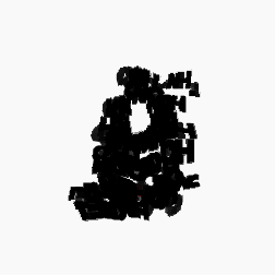 CCCCN(CCSSCCC(=O)N[C@H](Cc1ccccc1)C(=O)N[C@H]1CSSC[C@@H](C(=O)N[C@H](CO)[C@@H](C)O)NC(=O)[C@H]([C@@H](C)O)NC(=O)[C@H](CCCCCN)NC(=O)[C@@H](Cc2c[nH]c3ccccc23)NC(=O)[C@H](Cc2ccccc2)NC1=O)C(=O)O[C@@H](C(=O)O[C@H]1C[C@@]2(O)[C@@H](OC(=O)c3ccccc3)[C@@H]3[C@]4(OC(C)=O)CO[C@@H]4C[C@H](OC)[C@@]3(C)C(=O)[C@H](OC)C(=C1C)C2(C)C)[C@@H](NC(=O)OC(C)(C)C)c1ccccc1